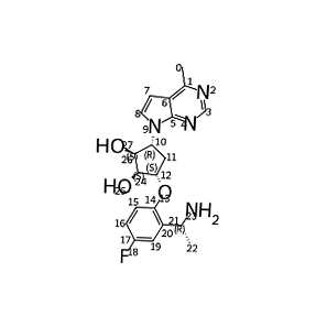 Cc1ncnc2c1ccn2[C@@H]1C[C@H](Oc2ccc(F)cc2[C@@H](C)N)[C@@H](O)[C@H]1O